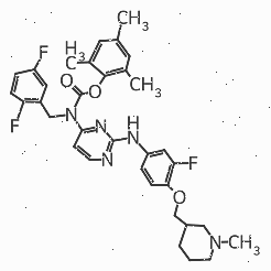 Cc1cc(C)c(OC(=O)N(Cc2cc(F)ccc2F)c2ccnc(Nc3ccc(OCC4CCCN(C)C4)c(F)c3)n2)c(C)c1